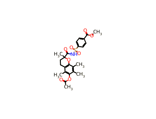 COC(=O)c1ccc(S(=O)(=O)NC(=O)C2(C)CCc3c(C)c(OC(C)=O)c(C)c(C)c3O2)cc1